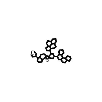 c1ccc(-c2cccc3c2ccc2c3oc3cc(-c4cc5ccc6ccccc6c5c5ccccc45)cc(-c4ccc5ccc6cccc7ccc4c5c67)c32)cc1